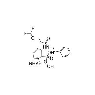 CC(=O)Nc1ccccc1[As](=O)(O)OO.O=C(CCOC(F)F)NCCc1ccccc1